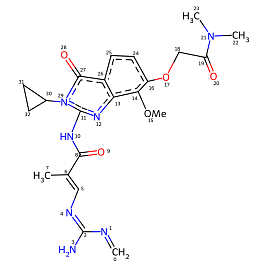 C=N/C(N)=N\C=C(/C)C(=O)Nc1nc2c(OC)c(OCC(=O)N(C)C)ccc2c(=O)n1C1CC1